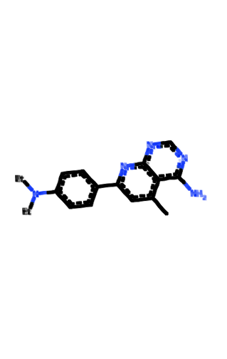 CCN(CC)c1ccc(-c2cc(C)c3c(N)ncnc3n2)cc1